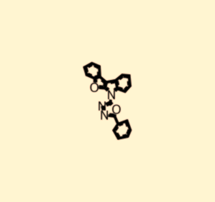 c1ccc(-c2nnc(-n3c4ccccc4c4c5ccccc5oc43)o2)cc1